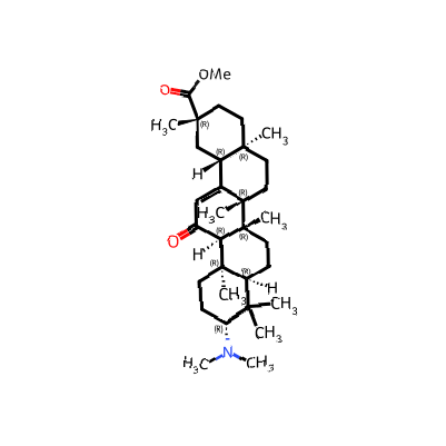 COC(=O)[C@]1(C)CC[C@@]2(C)CC[C@@]3(C)C(=CC(=O)[C@@H]4[C@]5(C)CC[C@@H](N(C)C)C(C)(C)[C@@H]5CC[C@]43C)[C@@H]2C1